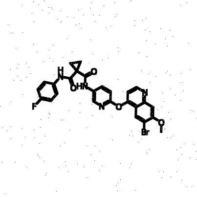 COc1cc2nccc(Oc3ccc(NC(=O)C4(C(=O)Nc5ccc(F)cc5)CC4)cn3)c2cc1Br